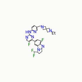 CCN1CC2(C1)CN(Cc1ccc(Nc3ncc(F)c(-c4cc(F)c5nc6n(c5c4)C(C(F)F)CC6)n3)nc1)C2